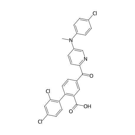 CN(c1ccc(Cl)cc1)c1ccc(C(=O)c2ccc(-c3ccc(Cl)cc3Cl)c(C(=O)O)c2)nc1